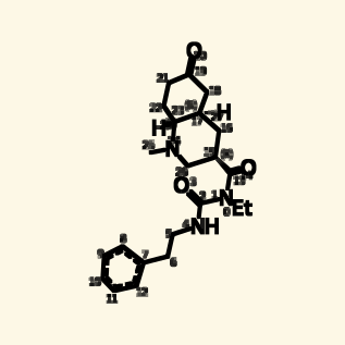 CCN(C(=O)NCCc1ccccc1)C(=O)[C@@H]1C[C@@H]2CC(=O)CC[C@H]2N(C)C1